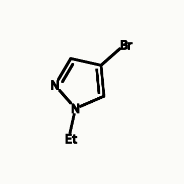 [CH2]Cn1cc(Br)cn1